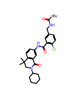 CC(C)(C)C(=O)NCc1ccc(Cl)c(C(=O)Nc2ccc3c(c2)C(=O)N(C2CCCCC2)CC3(C)C)c1